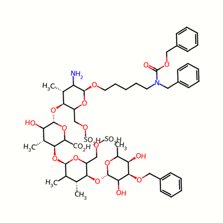 CC1[C@@H](O[C@@H]2C(C(=O)O)O[C@@H](O[C@@H]3C(COS(=O)(=O)O)O[C@H](OCCCCCN(Cc4ccccc4)C(=O)OCc4ccccc4)C(N)[C@H]3C)C(O)[C@H]2C)OC(COS(=O)(=O)O)[C@@H](O[C@@H]2OC(C)[C@@H](O)[C@@H](OCc3ccccc3)C2O)[C@@H]1C